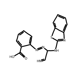 N=CC(N=Nc1ccccc1C(=O)O)Nc1nc2ccccc2s1